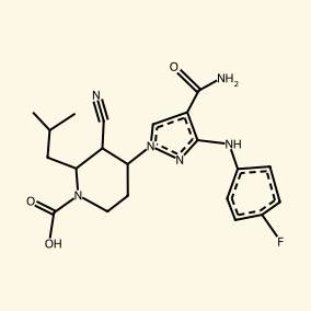 CC(C)CC1C(C#N)C(n2cc(C(N)=O)c(Nc3ccc(F)cc3)n2)CCN1C(=O)O